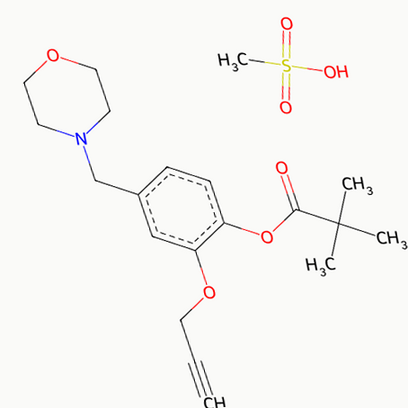 C#CCOc1cc(CN2CCOCC2)ccc1OC(=O)C(C)(C)C.CS(=O)(=O)O